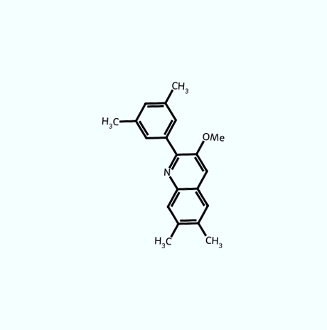 COc1cc2cc(C)c(C)cc2nc1-c1cc(C)cc(C)c1